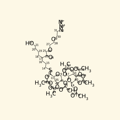 CC(=O)OC[C@H]1O[C@H](O[C@H]2O[C@H](CSCCCC(CCCCO)C(=O)COCCOCCN=[N+]=[N-])[C@@H](OC(C)=O)[C@H](OC(C)=O)[C@H]2OC(C)=O)[C@H](OC(C)=O)[C@@H](OC(C)=O)[C@@H]1OC(C)=O